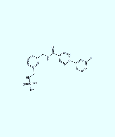 CC(C)S(=O)(=O)NCc1cccc(CNC(=O)c2cnc(-c3cccc(F)c3)nc2)c1